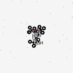 O=C(OC(c1ccccc1)c1ccccc1)C1=C(S)CCC2C(NC(=O)/C(=N/OC(c3ccccc3)(c3ccccc3)c3ccccc3)c3nc(NC(c4ccccc4)(c4ccccc4)c4ccccc4)sc3Cl)C(=O)N12